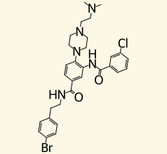 CN(C)CCN1CCN(c2ccc(C(=O)NCCc3ccc(Br)cc3)cc2NC(=O)c2cccc(Cl)c2)CC1